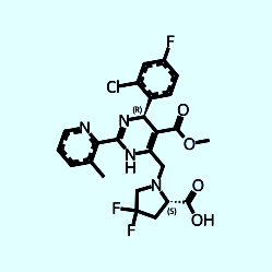 COC(=O)C1=C(CN2CC(F)(F)C[C@H]2C(=O)O)NC(c2ncccc2C)=N[C@H]1c1ccc(F)cc1Cl